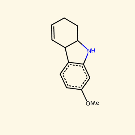 COc1ccc2c(c1)NC1CCC=CC21